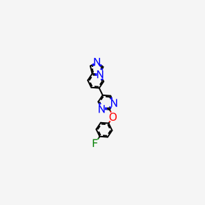 Fc1ccc(Oc2ncc(-c3ccc4cncn4c3)cn2)cc1